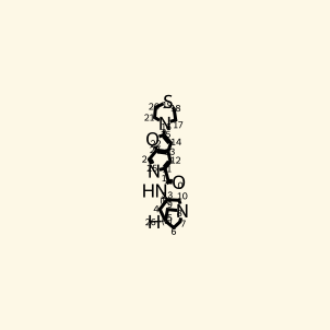 O=C(N[C@@H]1C[C@@H]2CCN(C2)C1)c1cc2cc(N3CCSCC3)oc2cn1